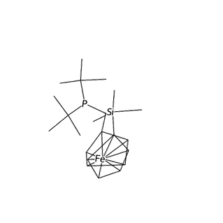 CC(C)(C)P(C[C]12[CH]3[CH]4[CH]5[CH]1[Fe]45321678[CH]2[CH]1[CH]6[C]7([Si](C)(C)C)[CH]28)C(C)(C)C